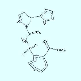 COC(=O)c1ccccc1S(=O)(=O)NC(=O)N1N=CCC1c1ccco1